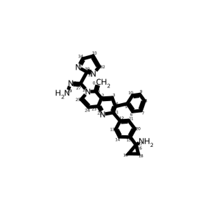 C=C1c2cc(-c3ccccc3)c(-c3ccc(C4(N)CC4)cc3)nc2C=CN1/C(=N\N)c1ncccn1